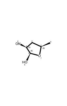 C[C@@H]1C[C@H](N=O)[C@H](O)O1